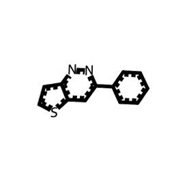 c1ccc(-c2cc3sccc3nn2)cc1